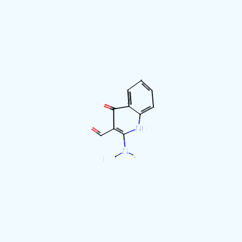 CN(C)c1[nH]c2ccccc2c(=O)c1C=O